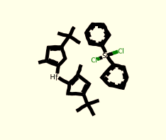 CC1=[C]([Hf][C]2=C(C)C=C(C(C)(C)C)C2)CC(C(C)(C)C)=C1.Cl[Si](Cl)(c1ccccc1)c1ccccc1